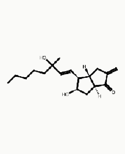 C=C1C[C@H]2[C@H](/C=C/C(C)(O)CCCCC)[C@H](O)C[C@@H]2C1=O